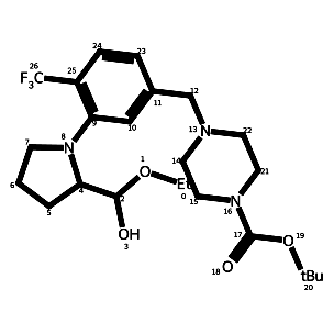 CCOC(O)C1CCCN1c1cc(CN2CCN(C(=O)OC(C)(C)C)CC2)ccc1C(F)(F)F